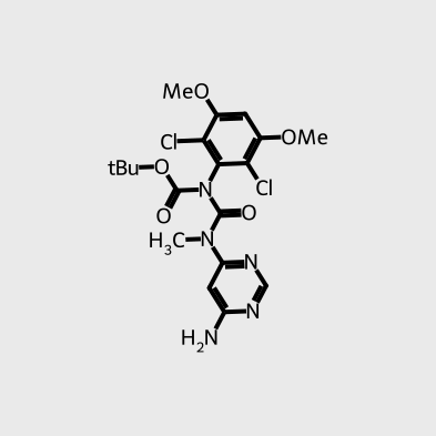 COc1cc(OC)c(Cl)c(N(C(=O)OC(C)(C)C)C(=O)N(C)c2cc(N)ncn2)c1Cl